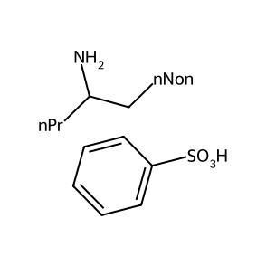 CCCCCCCCCCC(N)CCC.O=S(=O)(O)c1ccccc1